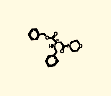 O=C(OCc1ccccc1)[C@@H](CC(=O)N1CCOCC1)NCc1ccccc1